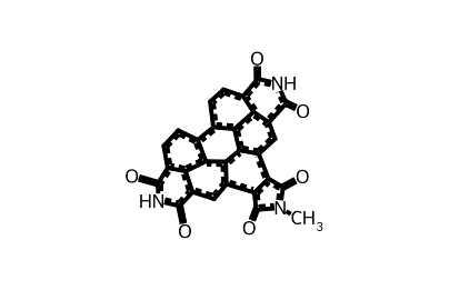 Cn1c(=O)c2c3cc4c(=O)[nH]c(=O)c5ccc6c7ccc8c(=O)[nH]c(=O)c9cc(c2c1=O)c(c7c89)c3c6c54